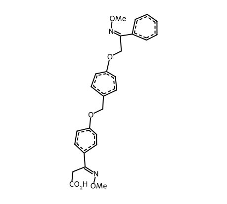 CON=C(COc1ccc(COc2ccc(C(CC(=O)O)=NOC)cc2)cc1)c1ccccc1